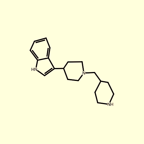 c1ccc2c(C3CCN(CC4CCNCC4)CC3)c[nH]c2c1